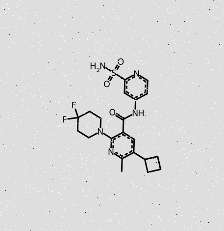 Cc1nc(N2CCC(F)(F)CC2)c(C(=O)Nc2ccnc(S(N)(=O)=O)c2)cc1C1CCC1